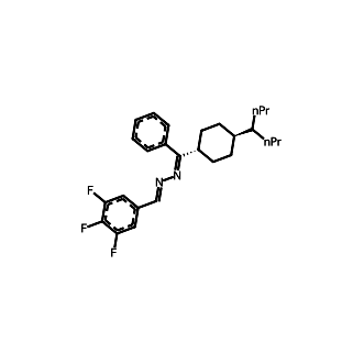 CCCC(CCC)[C@H]1CC[C@H](C(=NN=Cc2cc(F)c(F)c(F)c2)c2ccccc2)CC1